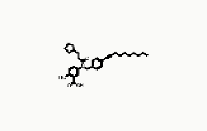 CCCCCCCCC#Cc1ccc(CN(C(=O)CCC2CCCC2)c2ccc(O)c(C(=O)O)c2)cc1